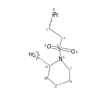 CC(C)CCS(=O)(=O)N1CCCCC1C(=O)O